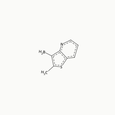 Bc1c(C)sc2cccnc12